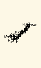 CNC(=O)N1CCN(c2ccc(C(=O)Nc3cc(C(F)(F)F)c(-c4ccc(-c5c[nH]c(C6CC(C)CN6C(=O)[C@@H](NC(=O)OC)C(C)C)n5)cc4)cc3Cl)cn2)CC1C